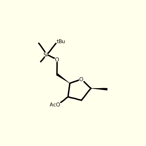 CC(=O)OC1C[C@H](C)O[C@@H]1CO[Si](C)(C)C(C)(C)C